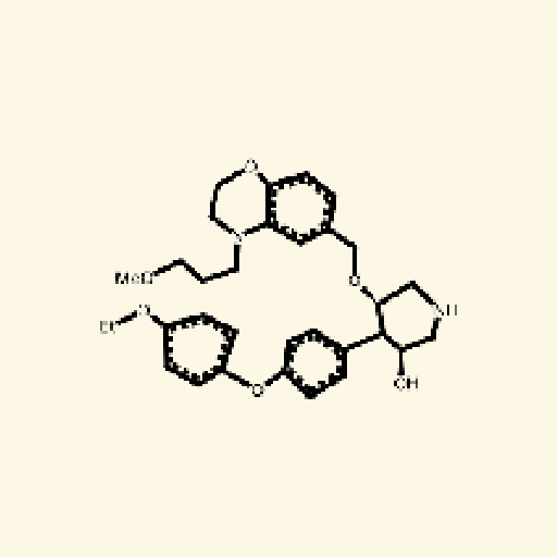 CCOc1ccc(Oc2ccc(C3[C@H](O)CNC[C@@H]3OCc3ccc4c(c3)N(CCCOC)CCO4)cc2)cc1